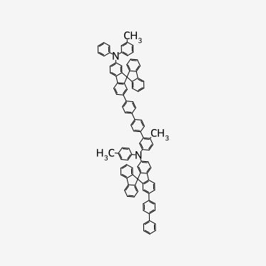 Cc1ccc(N(c2ccc(C)c(-c3ccc(-c4ccc(-c5ccc6c(c5)C5(c7ccccc7-c7ccccc75)c5cc(N(c7ccccc7)c7cccc(C)c7)ccc5-6)cc4)cc3)c2)c2ccc3c(c2)C2(c4ccccc4-c4ccccc42)c2cc(-c4ccc(-c5ccccc5)cc4)ccc2-3)cc1